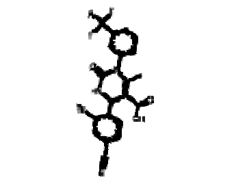 CC1=C(C(=O)O)C(c2ccc(C#N)cc2Br)NC(=O)N1c1cccc(C(F)(F)F)c1